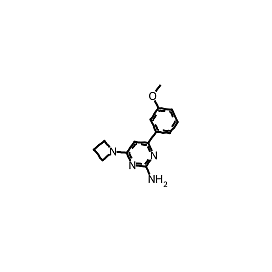 COc1cccc(-c2cc(N3CCC3)nc(N)n2)c1